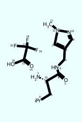 CC(C)C[C@H](N)C(=O)NCc1cnn(C)c1.O=C(O)C(F)(F)F